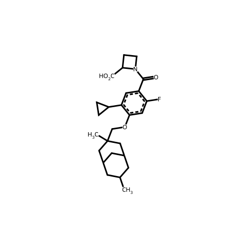 CC1CC2CC(C1)CC(C)(COc1cc(F)c(C(=O)N3CCC3C(=O)O)cc1C1CC1)C2